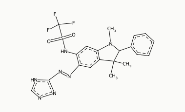 CN1c2cc(NS(=O)(=O)C(F)(F)F)c(N=Nc3nnc[nH]3)cc2C(C)(C)C1c1ccccc1